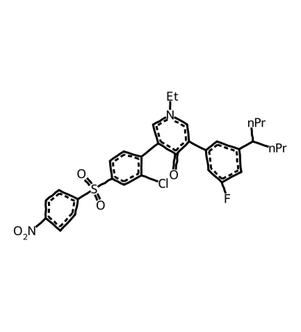 CCCC(CCC)c1cc(F)cc(-c2cn(CC)cc(-c3ccc(S(=O)(=O)c4ccc([N+](=O)[O-])cc4)cc3Cl)c2=O)c1